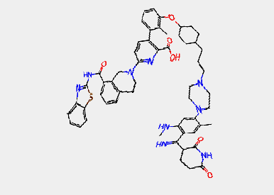 CNc1cc(N2CCN(CCCC3CCC(Oc4cccc(-c5ccc(N6CCc7cccc(C(=O)Nc8nc9ccccc9s8)c7C6)nc5C(=O)O)c4C)CC3)CC2)c(C)cc1C(=N)C1CCC(=O)NC1=O